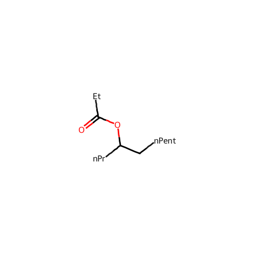 CCCCCCC(CCC)OC(=O)CC